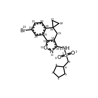 O=S(=O)(CC1CCCC1)Nc1noc2c1CC1(CC1)c1ccc(Br)cc1-2